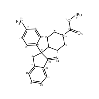 CC(C)(C)OC(=O)N1CCC(C2(c3ccc(C(F)(F)F)cc3)Cc3ccccc3C2=N)CC1